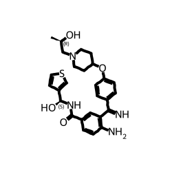 C[C@@H](O)CN1CCC(Oc2ccc(C(=N)c3cc(C(=O)N[C@@H](O)c4ccsc4)ccc3N)cc2)CC1